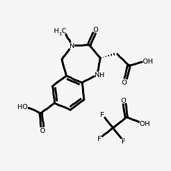 CN1Cc2cc(C(=O)O)ccc2N[C@@H](CC(=O)O)C1=O.O=C(O)C(F)(F)F